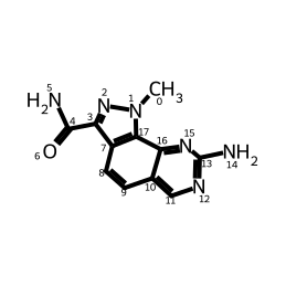 Cn1nc(C(N)=O)c2ccc3cnc(N)nc3c21